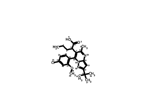 CCCC(C(=O)O)c1c(C)nc2cc(C(C)(C)C)nn2c1-c1ccc(Cl)cc1OC